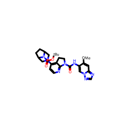 COc1cc2ncnn2cc1NC(=O)N1CCc2c(N3CC4CCC(C3)N4C(=O)OC(C)(C)C)ccnc21